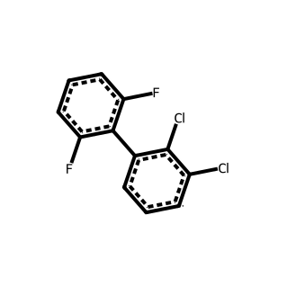 Fc1cccc(F)c1-c1cc[c]c(Cl)c1Cl